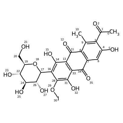 CC(=O)c1c(O)cc2c(c1C)C(=O)c1c(O)c(C3O[C@H](CO)[C@@H](O)[C@H](O)[C@H]3O)c(OI)c(O)c1C2=O